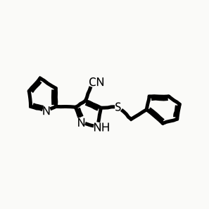 N#Cc1c(-c2ccccn2)n[nH]c1SCc1ccccc1